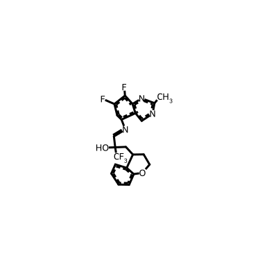 Cc1ncc2c(/N=C/C(O)(CC3CCOc4ccccc43)C(F)(F)F)cc(F)c(F)c2n1